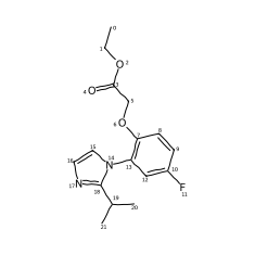 CCOC(=O)COc1ccc(F)cc1-n1ccnc1C(C)C